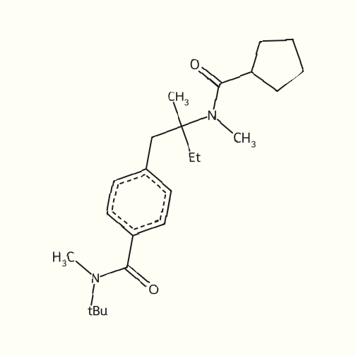 CCC(C)(Cc1ccc(C(=O)N(C)C(C)(C)C)cc1)N(C)C(=O)C1CCCC1